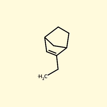 [CH2]CC1=CC2CCC1C2